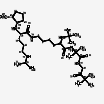 CC(=O)C(C)(C)NC(CCCCNC(=O)[C@H](CCCNC(N)N)NN1CCC[C@H]1C=O)C(=O)NC(C)(C)C(=O)NCC(=O)C(C)(C)N